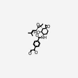 CC(C)=CC[C@H]1OC1(C)[C@H]1[C@H](O)[C@H](NC(=O)c2ccc(C(=O)C=O)cc2)CC[C@]12CO2